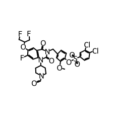 COc1cc(Cn2c(=O)c3cc(OC(CF)CF)c(F)cc3n(C3CCN(C=O)CC3)c2=O)ccc1OS(=O)(=O)c1ccc(Cl)c(Cl)c1